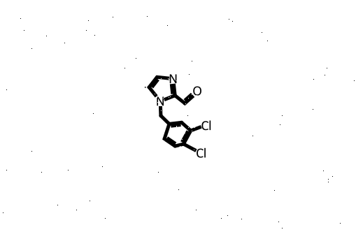 O=Cc1nc[c]n1Cc1ccc(Cl)c(Cl)c1